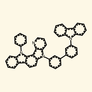 c1ccc(-n2c3ccccc3c3ccc4c(c5ncccc5n4-c4cccc(-c5cccc(-n6c7ccccc7c7ccccc76)c5)c4)c32)cc1